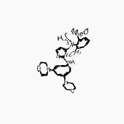 COc1cccc(C)c1N(C)c1ccnc(Nc2cc(N3CCOCC3)cc(N3CCOCC3)c2)n1